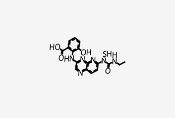 CCNC(=O)N(S)c1ccc2ncc(Nc3c(O)cccc3C(=O)O)nc2n1